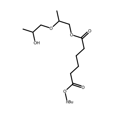 CCCCOC(=O)CCCCC(=O)OCC(C)OCC(C)O